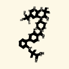 CC(C)(COc1ccccc1-c1ccc(C(=O)N2CCC(N3C(=O)C(C)(C)Oc4ncc(C(F)(F)F)cc43)CC2)c(F)c1)C(=O)O